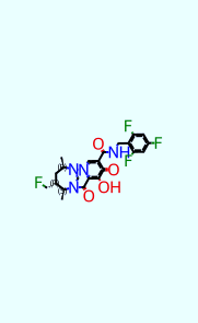 C[C@@H]1C[C@@H](CF)[C@H](C)N2CN1n1cc(C(=O)NCc3c(F)cc(F)cc3F)c(=O)c(O)c1C2=O